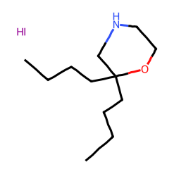 CCCCC1(CCCC)CNCCO1.I